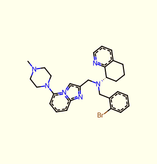 CN1CCN(c2cccc3nc(CN(Cc4ccccc4Br)[C@H]4CCCc5cccnc54)cn23)CC1